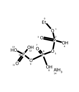 CCOP(=O)(O)OP(=O)(O)OP(=O)(O)O.[AlH3]